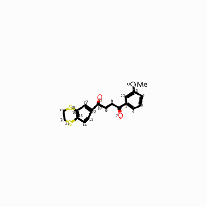 COc1cccc(C(=O)CCC(=O)c2ccc3c(c2)SCCS3)c1